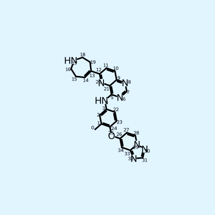 Cc1cc(Nc2ncnc3ccc(C4=CCCNCC4)nc23)ccc1Oc1ccn2ncnc2c1